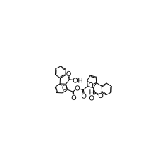 O=C(OC(=O)C1C2C=CC(c3ccccc3)(O2)C1C(=O)O)C1C2C=CC(c3ccccc3)(O2)C1C(=O)O